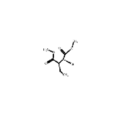 CC[C@@H](C(=O)OC)[C@H](Br)C(=O)OC